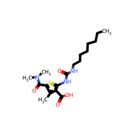 CCCCCCCCNC(=O)Nc1sc(C(=O)N(C)C)c(C)c1C(=O)O